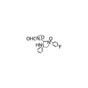 O=CN1CCOC(C2=CN(C(=O)c3ccc(F)cc3)CCc3c2[nH]c2ccccc32)C1